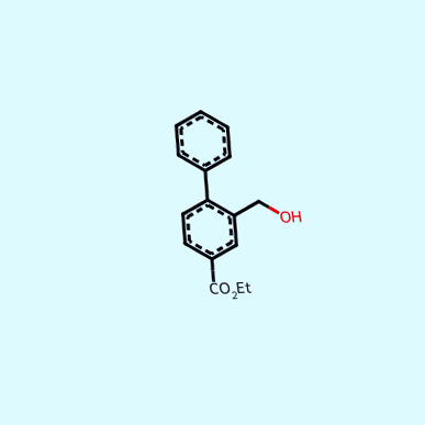 CCOC(=O)c1ccc(-c2ccccc2)c(CO)c1